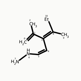 C=C(C)C(/C=C\NN)=C(/C)CC